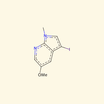 COc1cnc2c(c1)c(I)cn2C